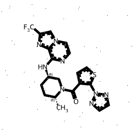 C[C@@H]1CC[C@@H](Nc2nccn3cc(C(F)(F)F)nc23)CN1C(=O)c1ccsc1-n1nccn1